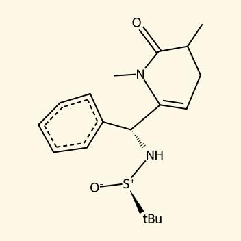 CC1CC=C([C@H](N[S@+]([O-])C(C)(C)C)c2ccccc2)N(C)C1=O